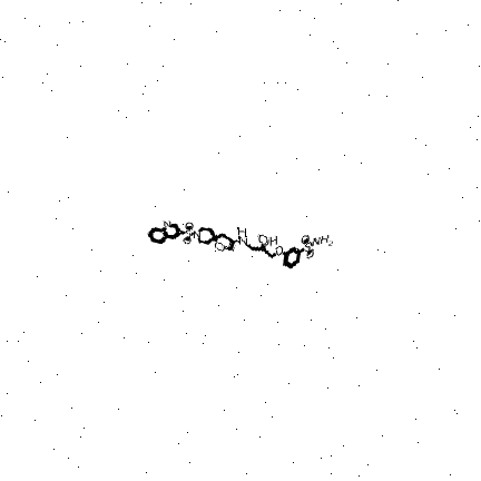 NS(=O)(=O)c1cccc(OCC(O)CN[C@H]2COC3(CCN(S(=O)(=O)c4cnc5ccccc5c4)CC3)C2)c1